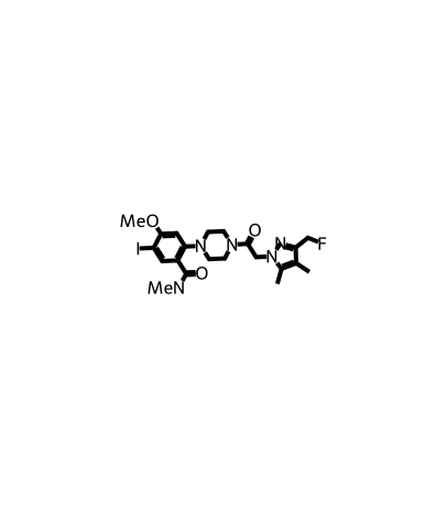 CNC(=O)c1cc(I)c(OC)cc1N1CCN(C(=O)Cn2nc(CF)c(C)c2C)CC1